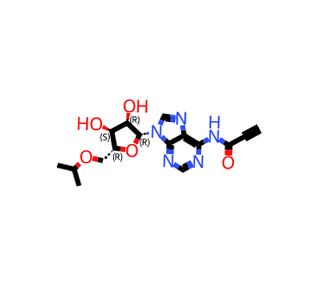 C#CC(=O)Nc1ncnc2c1ncn2[C@@H]1O[C@H](COC(C)C)[C@@H](O)[C@H]1O